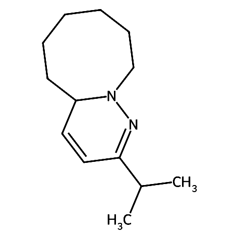 CC(C)C1=NN2CCCCCCC2C=C1